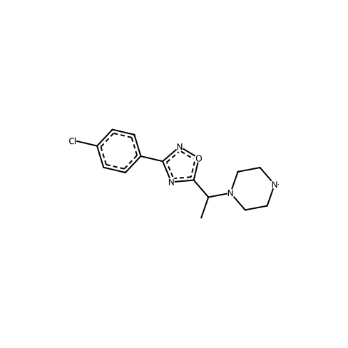 CC(c1nc(-c2ccc(Cl)cc2)no1)N1CC[N]CC1